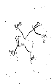 C[C@H](N)C(=O)O.NCC(=O)O